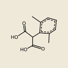 Cc1cccc(C)c1C(C(=O)O)C(=O)O